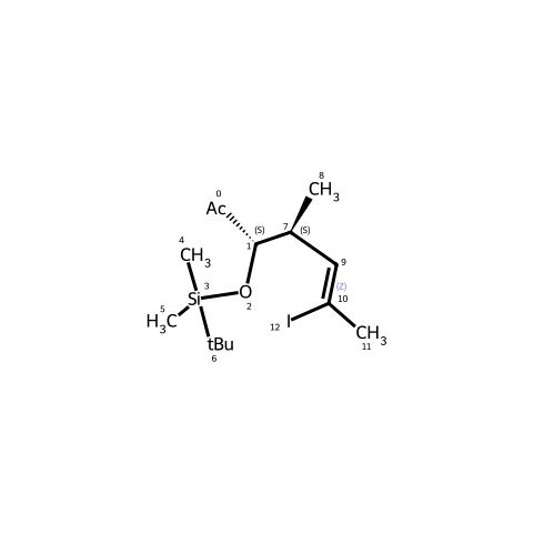 CC(=O)[C@@H](O[Si](C)(C)C(C)(C)C)[C@@H](C)/C=C(/C)I